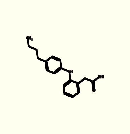 CCCCc1ccc(Nc2ccccc2CC(=O)O)cc1